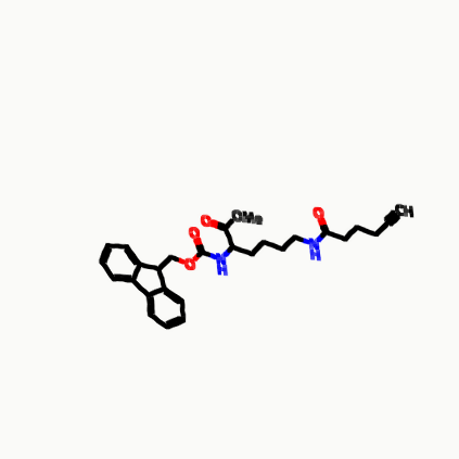 C#CCCCC(=O)NCCCCC(NC(=O)OCC1c2ccccc2-c2ccccc21)C(=O)OC